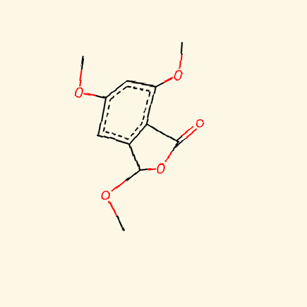 COc1cc(OC)c2c(c1)C(OC)OC2=O